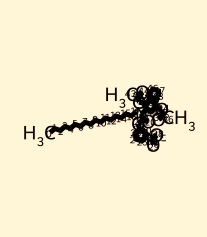 CCCCCCCCCCCCCCCCCCN(C(=O)Oc1cccc([N+](=O)[O-])c1)c1cc(OC(C)=O)c2c(c1OC(C)=O)C1CCC2C1